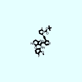 COc1c(F)cccc1Nc1c(-c2ccncc2C#C[C@H]2CC[C@@H](C)N2C(=O)OC(C)(C)C)[nH]c2c1C(=O)NCC2